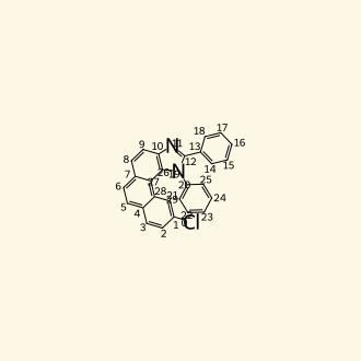 Clc1ccc2ccc3ccc4nc(-c5ccccc5)n(-c5ccccc5)c4c3c2c1